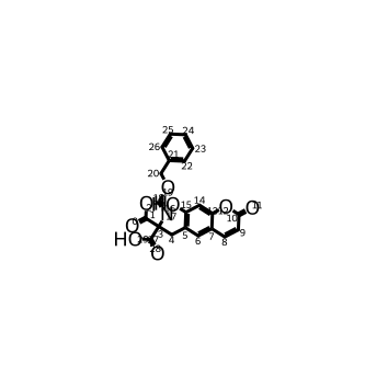 O=C(O)C(Cc1cc2ccc(=O)oc2cc1O)(/N=C/OCc1ccccc1)C(=O)O